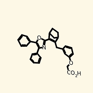 O=C(O)COc1cccc(CC2=C(c3nc(-c4ccccc4)c(-c4ccccc4)o3)C3CCC2C3)c1